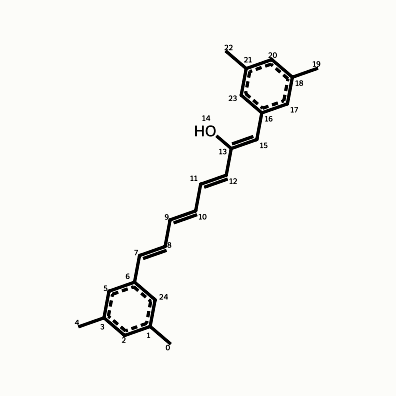 Cc1cc(C)cc(C=CC=CC=CC(O)=Cc2cc(C)cc(C)c2)c1